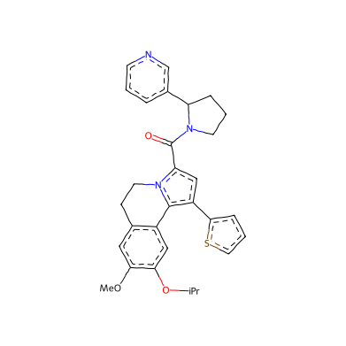 COc1cc2c(cc1OC(C)C)-c1c(-c3cccs3)cc(C(=O)N3CCCC3c3cccnc3)n1CC2